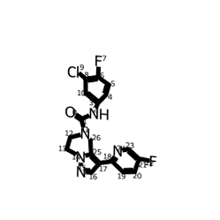 O=C(Nc1ccc(F)c(Cl)c1)N1CCn2ncc(-c3ccc(F)cn3)c2C1